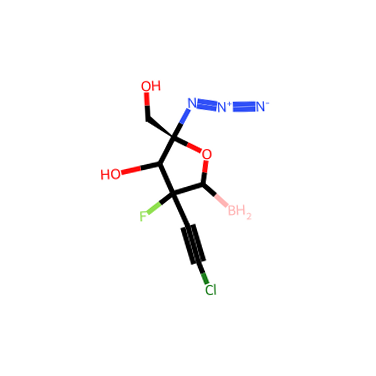 BC1O[C@@](CO)(N=[N+]=[N-])C(O)C1(F)C#CCl